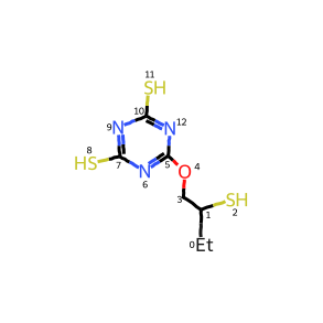 CCC(S)COc1nc(S)nc(S)n1